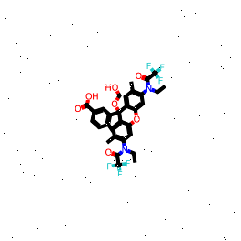 CCN(C(=O)C(F)(F)F)c1cc2c(cc1C)C(OCO)(c1cc(C(=O)O)ccc1C)c1cc(C)c(N(CC)C(=O)C(F)(F)F)cc1O2